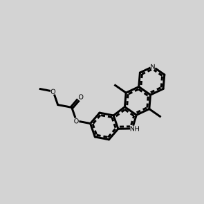 COCC(=O)Oc1ccc2[nH]c3c(C)c4ccncc4c(C)c3c2c1